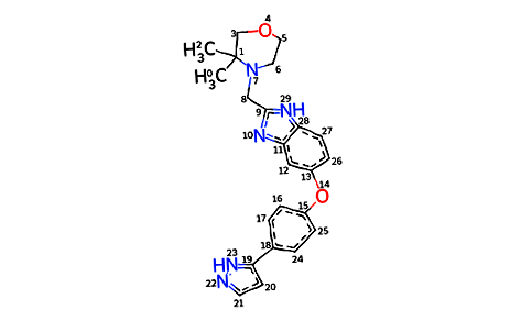 CC1(C)COCCN1Cc1nc2cc(Oc3ccc(-c4ccn[nH]4)cc3)ccc2[nH]1